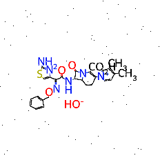 Cc1cc[n+](C2=C(C(=O)O)N3C(=O)[C@@H](NC(=O)C(=NOCc4ccccc4)c4csc(N)n4)C3CC2)cc1C.[OH-]